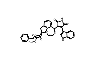 CC(C)(C)OC(=O)CC[N@@+]12C=CN=C(C3=C(c4c[nH]c5ccccc45)C(=O)NC3=O)c3cccc(c31)CC2C(=O)OCc1ccccc1